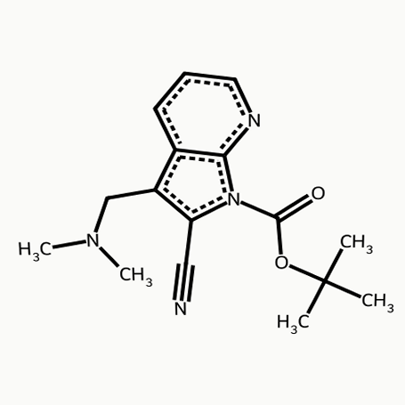 CN(C)Cc1c(C#N)n(C(=O)OC(C)(C)C)c2ncccc12